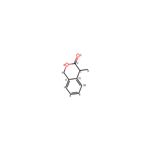 CC1C(=O)OCc2ccccc21